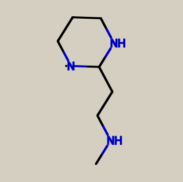 CNCCC1[N]CCCN1